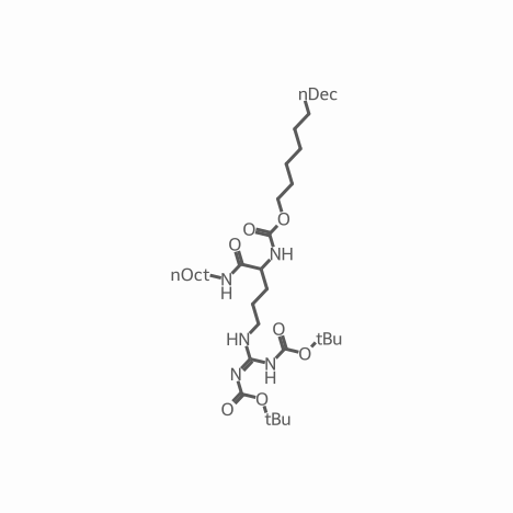 CCCCCCCCCCCCCCCCOC(=O)NC(CCCNC(=NC(=O)OC(C)(C)C)NC(=O)OC(C)(C)C)C(=O)NCCCCCCCC